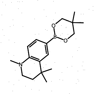 CN1CCC(C)(C)c2cc(B3OCC(C)(C)CO3)ccc21